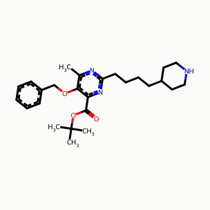 Cc1nc(CCCCC2CCNCC2)nc(C(=O)OC(C)(C)C)c1OCc1ccccc1